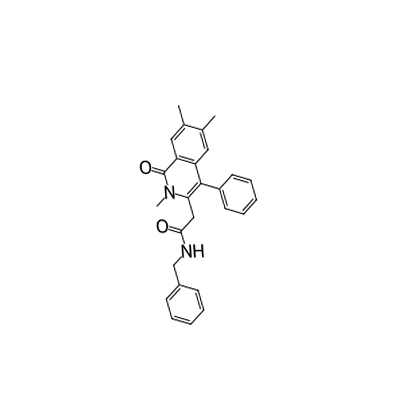 Cc1cc2c(-c3ccccc3)c(CC(=O)NCc3ccccc3)n(C)c(=O)c2cc1C